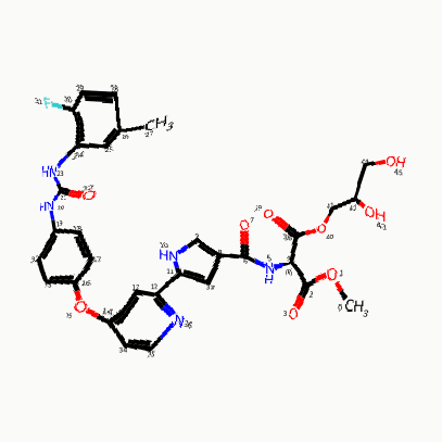 COC(=O)[C@@H](NC(=O)c1c[nH]c(-c2cc(Oc3ccc(NC(=O)Nc4cc(C)ccc4F)cc3)ccn2)c1)C(=O)OCC(O)CO